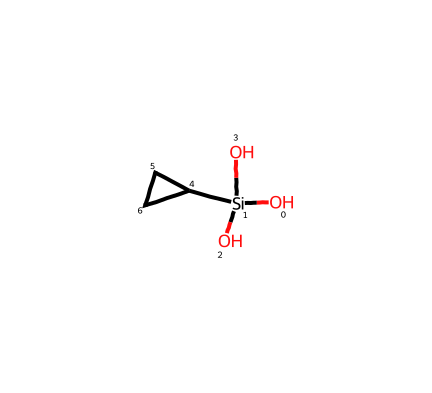 O[Si](O)(O)C1CC1